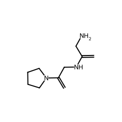 C=C(CN)NCC(=C)N1CCCC1